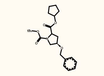 CC(C)(C)OC(=O)N1C[C@H](OCc2ccccc2)CC1C(=O)OC1CCCC1